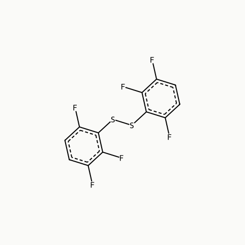 Fc1ccc(F)c(SSc2c(F)ccc(F)c2F)c1F